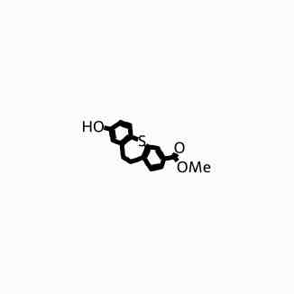 COC(=O)c1ccc2c(c1)Sc1ccc(O)cc1CC2